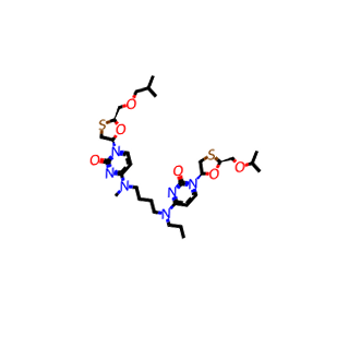 CCCN(CCCCN(C)c1ccn([C@H]2CS[C@@H](COCC(C)C)O2)c(=O)n1)c1ccn([C@H]2CS[C@@H](COC(C)C)O2)c(=O)n1